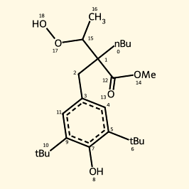 CCCCC(Cc1cc(C(C)(C)C)c(O)c(C(C)(C)C)c1)(C(=O)OC)C(C)OO